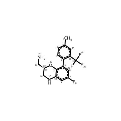 Cc1ccc(-c2cc(F)cc3c2O[C@H](CN)CN3)c(C(F)(F)F)c1